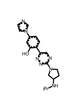 CC(C)NC1CCN(c2ncc(-c3ccc(-n4ccnc4)cc3O)nn2)C1